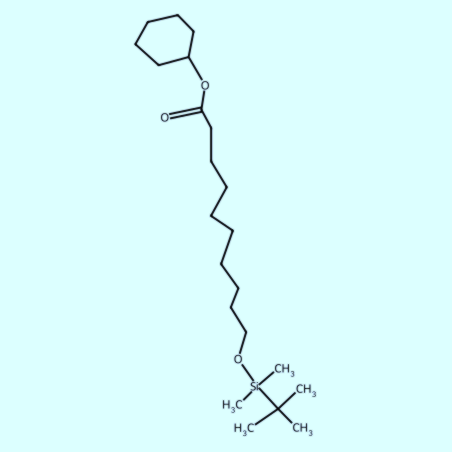 CC(C)(C)[Si](C)(C)OCCCCCCCCCC(=O)OC1CCCCC1